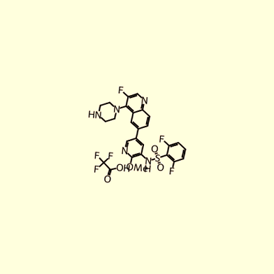 COc1ncc(-c2ccc3ncc(F)c(N4CCNCC4)c3c2)cc1NS(=O)(=O)c1c(F)cccc1F.O=C(O)C(F)(F)F